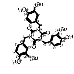 CC(C)(C)c1cc(Cn2c(=O)n(Cc3ccc(O)c(C(C)(C)C)c3)c(=O)n(Cc3ccc(O)c(C(C)(C)C)c3)c2=O)ccc1O